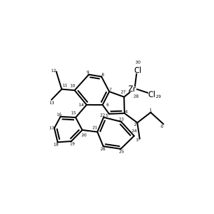 CCC(C)C1=Cc2c(ccc(C(C)C)c2-c2ccccc2-c2ccccc2)[CH]1[Zr]([Cl])[Cl]